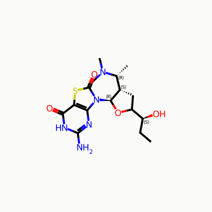 CC[C@H](O)C1C[C@@H]([C@@H](C)N(C)C)[C@H](n2c(=O)sc3c(=O)[nH]c(N)nc32)O1